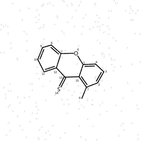 Cc1cccc2oc3ccccc3c(=S)c12